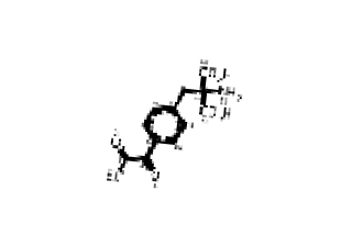 CCC(=O)C(=O)c1ccc(CC(N)(C(=O)O)C(=O)O)cc1